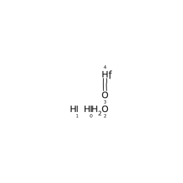 I.I.O.[O]=[Hf]